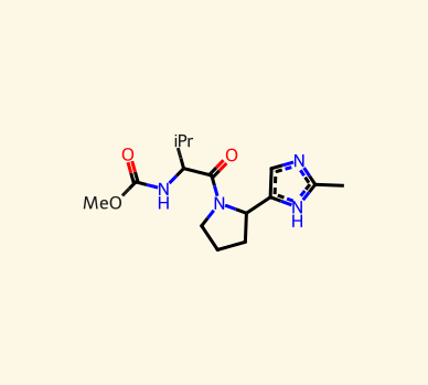 COC(=O)NC(C(=O)N1CCCC1c1cnc(C)[nH]1)C(C)C